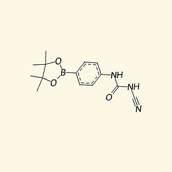 CC1(C)OB(c2ccc(NC(=O)NC#N)cc2)OC1(C)C